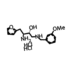 COc1cccc(CNC[C@@H](O)[C@@H](N)Cc2ccco2)c1.Cl.Cl